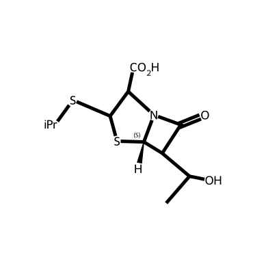 CC(C)SC1S[C@H]2C(C(C)O)C(=O)N2C1C(=O)O